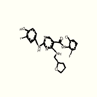 O=C(Nc1c(F)cccc1Cl)c1cnc(Nc2ccc(O)c(F)c2)nc1NCC1CCCO1